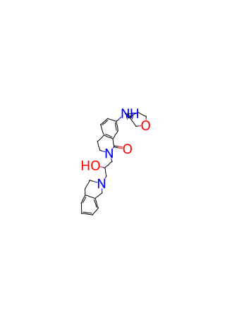 O=C1c2cc(N[C@H]3CCOC3)ccc2CCN1CC(O)CN1CCc2ccccc2C1